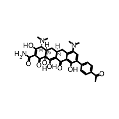 CC(=O)c1ccc(-c2cc(N(C)C)c3c(c2O)C(=O)C2=C(O)[C@@]4(O)C(=O)C(C(N)=O)=C(O)[C@H](N(C)C)[C@H]4C[C@H]2C3)cc1